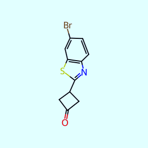 O=C1CC(c2nc3ccc(Br)cc3s2)C1